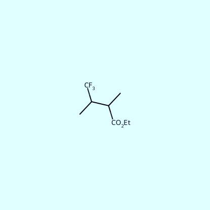 CCOC(=O)C(C)C(C)C(F)(F)F